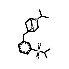 CC(C)N1CC2CCC1CN2Cc1cccc(S(=O)(=O)C(C)C)c1